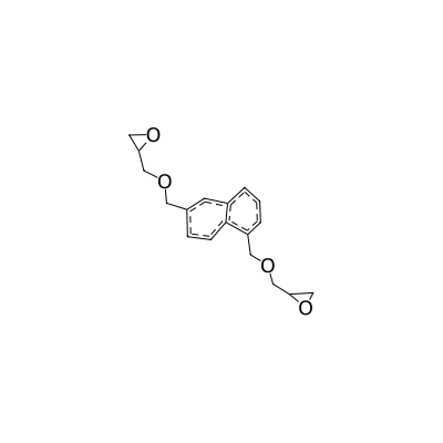 c1cc(COCC2CO2)c2ccc(COCC3CO3)cc2c1